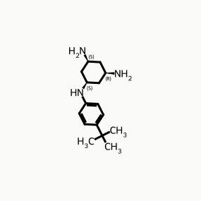 CC(C)(C)c1ccc(N[C@@H]2C[C@H](N)C[C@H](N)C2)cc1